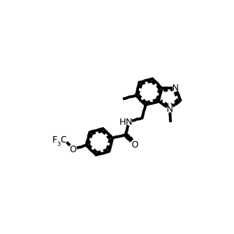 Cc1ccc2ncn(C)c2c1CNC(=O)c1ccc(OC(F)(F)F)cc1